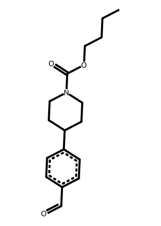 CCCCOC(=O)N1CCC(c2ccc(C=O)cc2)CC1